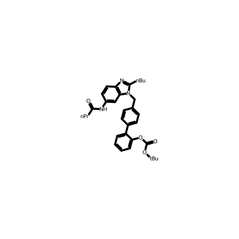 CCCCc1nc2ccc(NC(=O)CCC)cc2n1Cc1ccc(-c2ccccc2OC(=O)OC(C)(C)C)cc1